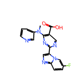 CN(c1cccnc1)c1nc(-c2cnc3ccc(F)cn23)ncc1C(=O)O